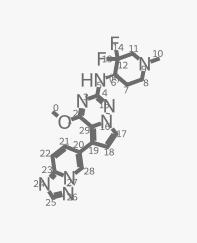 COc1nc(N[C@@H]2CCN(C)CC2(F)F)nn2ccc(-c3ccc4ncnn4c3)c12